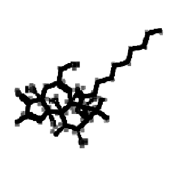 CCCCCCCCCC(=O)O[C@@]12[C@H](O)[C@@H](C)[C@@]3(O)[C@@H](C=C(CO)C[C@]4(O)C(=O)C(C)=C[C@@H]34)[C@H]1C2(C)C